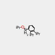 CC(C)O[SiH2]c1cccc(C(C)C)c1C(C)C